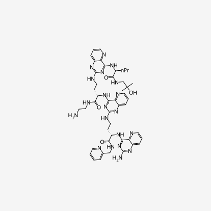 CCC[C@H](Nc1nc(NCC[C@H](Nc2nc(NCC[C@H](Nc3nc(N)nc4cccnc34)C(=O)NCc3ccccn3)nc3cccnc23)C(=O)NCCN)nc2cccnc12)C(=O)NCC(C)(C)O